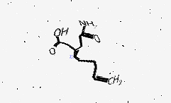 C=CC/C=C(\C(N)=O)C(=O)O